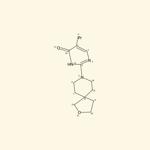 CC(C)c1cnc(N2CCC3(CCOC3)CC2)[nH]c1=O